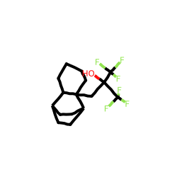 OC(CC12CCCCC1C1CCC2CC1)(C(F)(F)F)C(F)(F)F